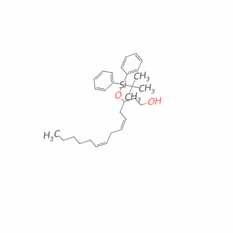 CCCCC/C=C\C/C=C\CC(CCO)O[Si](c1ccccc1)(c1ccccc1)C(C)(C)C